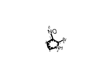 O=Nc1cc[nH]c1Br